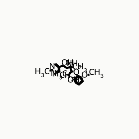 CCOc1ccccc1OC(C(C)O)C(C)(N)CC(O)c1cnc(C)nc1C